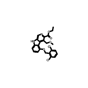 CCOC(=O)c1ncc2[nH]c3cccc(OCc4c(Cl)cccc4Cl)c3c2c1COC